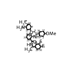 COc1ccc([C@H](COc2ccc(C)c(N)c2)Nc2ncccc2C(=O)N[C@@H](C)c2ccc(F)c(F)c2)cc1